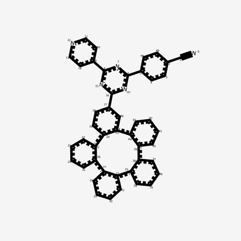 N#Cc1ccc(-c2nc(-c3ccncc3)nc(-c3ccc4c5ccccc5c5ccccc5c5ccccc5c5ccccc5c4c3)n2)cc1